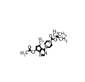 CC(=O)O[C@H]1C[C@@H](C)c2c1ncnc2N1CCN(C(=O)OC(C)(C)C)CC1